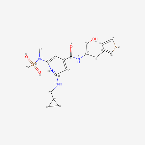 CN(c1cc(C(=O)N[C@H](CO)Cc2ccsc2)cc(NCC2CC2)n1)S(C)(=O)=O